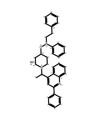 CC(c1cc(-c2ccccc2)nc2ccccc12)N1CCC(ON(CCc2ccccc2)c2ccccc2)CC1.N